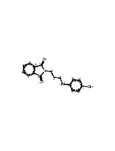 O=C1c2ccccc2C(=O)N1CCCNc1ccc(Cl)cc1